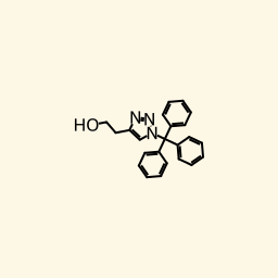 OCCc1cn(C(c2ccccc2)(c2ccccc2)c2ccccc2)nn1